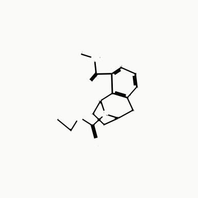 CCOC(=O)N1C2CCC1c1c(cccc1C(=O)OC)C2